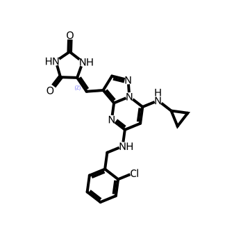 O=C1NC(=O)/C(=C/c2cnn3c(NC4CC4)cc(NCc4ccccc4Cl)nc23)N1